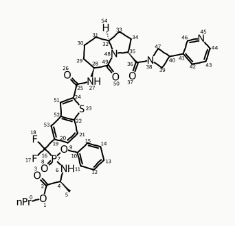 CCCOC(=O)[C@H](C)NP(=O)(Oc1ccccc1)C(F)(F)c1ccc2sc(C(=O)N[C@H]3CCC[C@H]4CC[C@@H](C(=O)N5CC(c6cccnc6)C5)N4C3=O)cc2c1